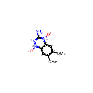 COc1cc2c(cc1OC)[n+]([O-])c(N)n[n+]2[O-]